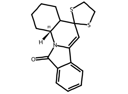 O=C1c2ccccc2C2=CC3(SCCS3)C3CCCC[C@H]3N12